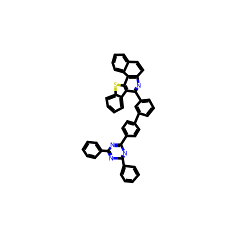 c1ccc(-c2nc(-c3ccccc3)nc(-c3ccc(-c4cccc(-c5nc6ccc7ccccc7c6c6sc7ccccc7c56)c4)cc3)n2)cc1